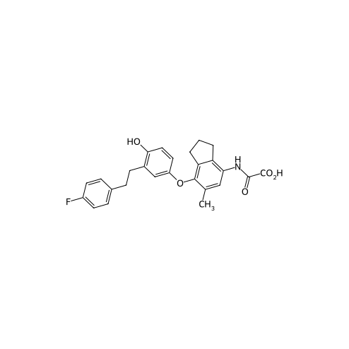 Cc1cc(NC(=O)C(=O)O)c2c(c1Oc1ccc(O)c(CCc3ccc(F)cc3)c1)CCC2